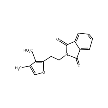 Cc1coc(CCN2C(=O)c3ccccc3C2=O)c1C(=O)O